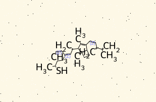 C=C(C)C(=C)/C=C\C1=C(C)C(C(=C)/C=C(\C=C/C)CCC(C)S)C2(C)CCC12